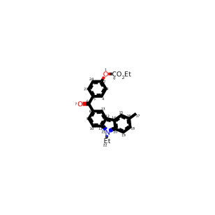 CCOC(=O)Oc1ccc(C(=O)c2ccc3c(c2)c2cc(C)ccc2n3CC)cc1